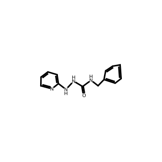 O=C(NCc1ccccc1)NNc1ccccn1